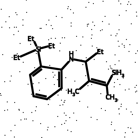 CCC(Nc1ccccc1[Si](CC)(CC)CC)C(C)=C(C)[SiH3]